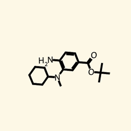 CN(c1cc(C(=O)OC(C)(C)C)ccc1N)C1CCCCC1